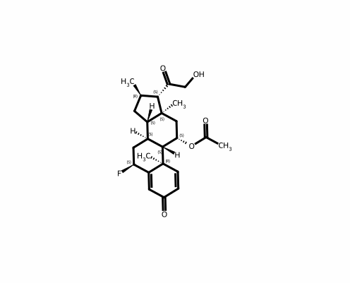 CC(=O)O[C@H]1C[C@@]2(C)[C@@H](C[C@@H](C)[C@@H]2C(=O)CO)[C@@H]2C[C@H](F)C3=CC(=O)C=C[C@]3(C)[C@H]21